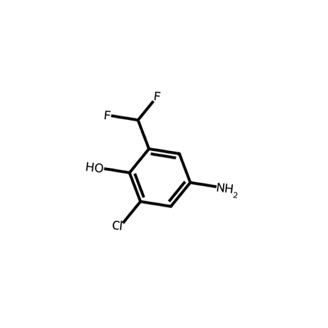 Nc1cc(Cl)c(O)c(C(F)F)c1